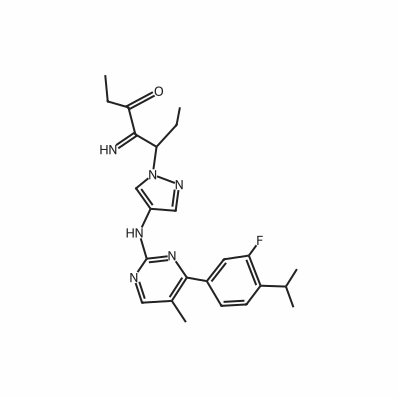 CCC(=O)C(=N)C(CC)n1cc(Nc2ncc(C)c(-c3ccc(C(C)C)c(F)c3)n2)cn1